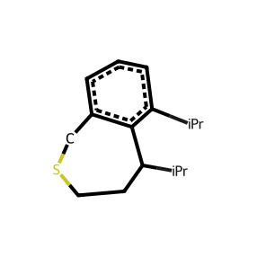 CC(C)c1cccc2c1C(C(C)C)CCSC2